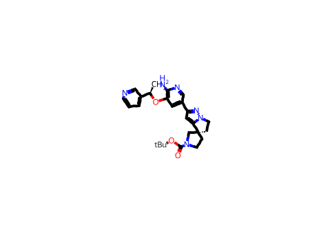 C[C@@H](Oc1cc(-c2cc3n(n2)CC[C@@]32CCN(C(=O)OC(C)(C)C)C2)cnc1N)c1cccnc1